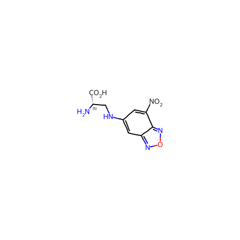 N[C@@H](CNc1cc([N+](=O)[O-])c2nonc2c1)C(=O)O